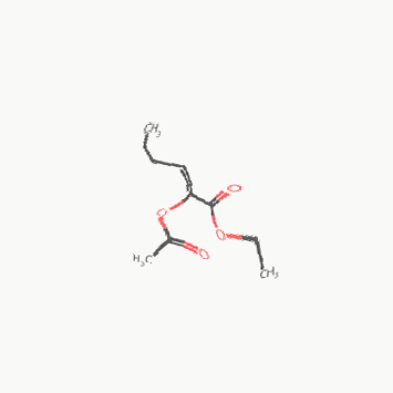 CC/C=C(\OC(C)=O)C(=O)OCC